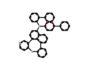 c1ccc(-c2ccc(N(c3ccccc3-c3ccccc3)c3ccc4c5c(cccc35)-c3ccccc3Sc3ccncc3-4)cc2)cc1